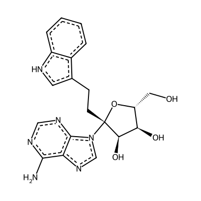 Nc1ncnc2c1ncn2[C@]1(CCc2c[nH]c3ccccc23)O[C@H](CO)[C@@H](O)[C@H]1O